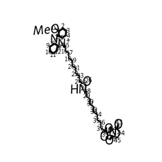 COc1cccc2c1nc1ccccc1[n+]2CCCCCCCCCCC(=O)NCCCCCCCCCCC(=O)ON1C(=O)CCC1=O